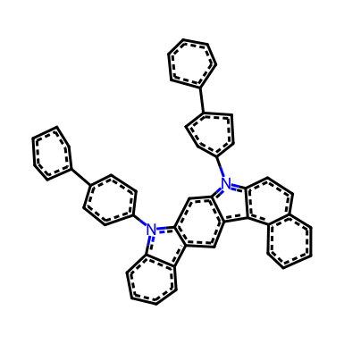 c1ccc(-c2ccc(-n3c4ccccc4c4cc5c6c7ccccc7ccc6n(-c6ccc(-c7ccccc7)cc6)c5cc43)cc2)cc1